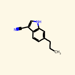 CCCc1ccc2c(C#N)c[nH]c2c1